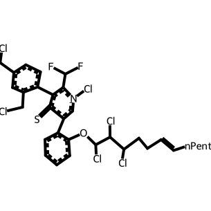 CCCCCC=CCCC(Cl)C(Cl)C(Cl)Oc1ccccc1-c1cn(Cl)c(C(F)F)c(-c2ccc(CCl)cc2CCl)c1=S